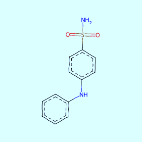 NS(=O)(=O)c1ccc(Nc2ccccc2)cc1